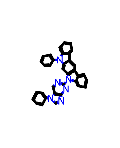 c1ccc(-n2cnc3nc(-n4c5ccccc5c5cc6c7ccccc7n(-c7ccccc7)c6cc54)ncc32)cc1